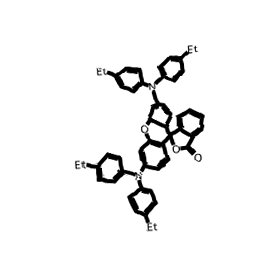 CCc1ccc(N(C2=CC3Oc4cc(N(c5ccc(CC)cc5)c5ccc(CC)cc5)ccc4C4(OC(=O)c5ccccc54)C3C=C2)c2ccc(CC)cc2)cc1